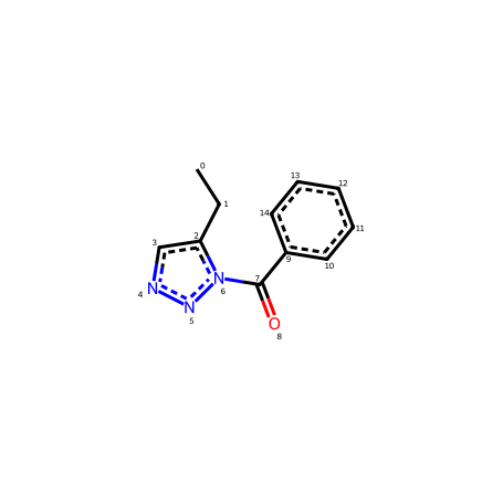 CCc1cnnn1C(=O)c1ccccc1